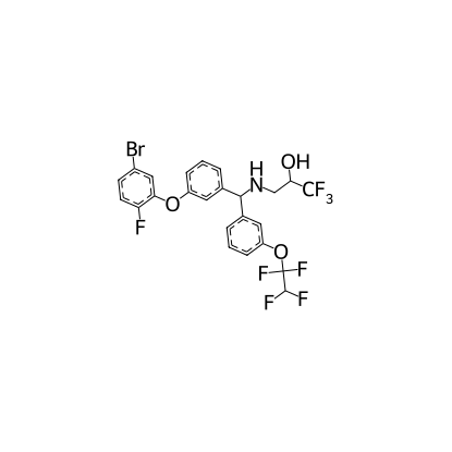 OC(CNC(c1cccc(Oc2cc(Br)ccc2F)c1)c1cccc(OC(F)(F)C(F)F)c1)C(F)(F)F